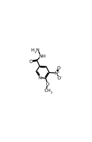 COc1ncc(C(=O)NN)cc1[N+](=O)[O-]